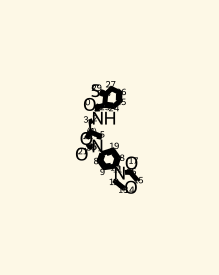 O=C(NC[C@H]1CN(c2ccc(N3CCOCC3=O)cc2)C(=O)O1)C1=CC=CCC1=S